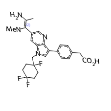 CN/C(=C(/C)N)c1cnc2c(-c3ccc(CC(=O)O)cc3)cn(CC3(F)CCC(F)(F)CC3)c2c1